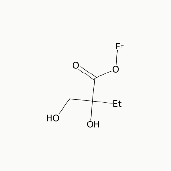 CCOC(=O)C(O)(CC)CO